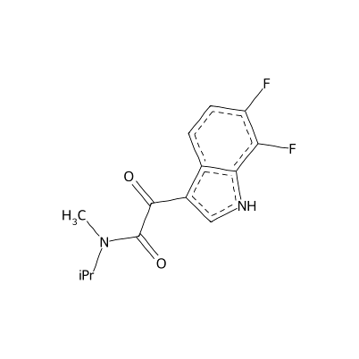 CC(C)N(C)C(=O)C(=O)c1c[nH]c2c(F)c(F)ccc12